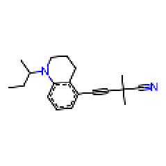 CCC(C)N1CCCc2c(C#CC(C)(C)C#N)cccc21